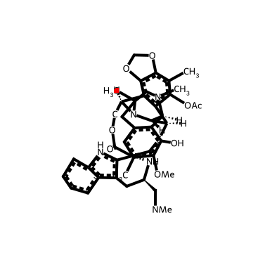 CNC[C@H]1Cc2c([nH]c3ccccc23)[C@@]2(CS[C@@H]3c4c(OC(C)=O)c(C)c5c(c4[C@H](COC2=O)N2[C@@H]3[C@@H]3c4c(cc(C)c(OC)c4O)CC2(C)CN3C)OCO5)N1